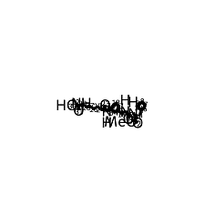 COC(=O)[C@H](Cc1ccccc1)NC(=O)NCc1cccc(NC(=O)CCCCCCC(=O)NO)c1